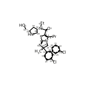 CCN(C(=O)C1=C(C(C)C)N2C(=N[C@@](C)(c3ccc(Cl)cc3)[C@H]2c2ccc(Cl)cc2)S1)[C@@H]1CN[C@H](CO)C1